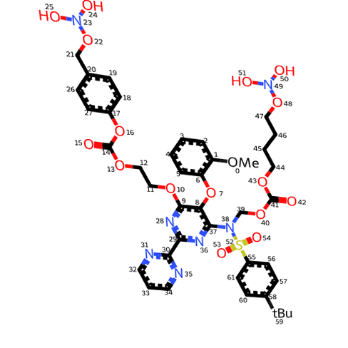 COc1ccccc1Oc1c(OCCOC(=O)Oc2ccc(CON(O)O)cc2)nc(-c2ncccn2)nc1N(COC(=O)OCCCCON(O)O)S(=O)(=O)c1ccc(C(C)(C)C)cc1